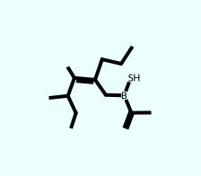 C=C(C)B(S)C/C(CCC)=C(/C)C(C)CC